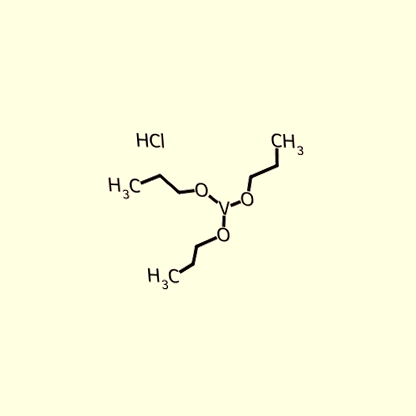 CCC[O][V]([O]CCC)[O]CCC.Cl